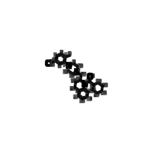 Cc1ccc(Cl)cc1N1CCN(CC2CCc3ccccc3N2C(=O)C2CCCCC2)CC1